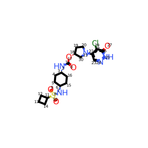 O=C(N[C@H]1CC[C@H](NS(=O)(=O)C2CCC2)CC1)O[C@@H]1CCN(c2cn[nH]c(=O)c2Cl)C1